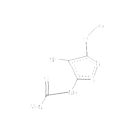 CNC(=O)Nc1snc(OC(C)C)c1C#N